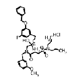 CCCN(CCC)S(=O)(=O)CCC(=O)N(Cc1cccc(OC)c1)C[C@](N)(O)CCc1cc(F)cc(OCc2ccccc2)c1.Cl